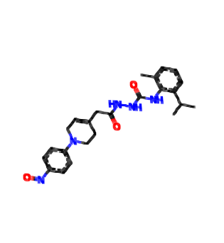 Cc1cccc(C(C)C)c1NC(=O)NNC(=O)CC1=CCN(c2ccc(N=O)cc2)CC1